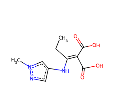 CCC(Nc1cnn(C)c1)=C(C(=O)O)C(=O)O